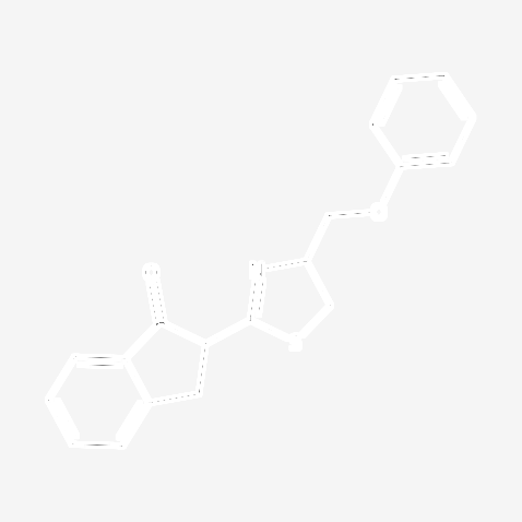 O=C1c2ccccc2CC1C1=NC(COc2ccccc2)CS1